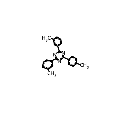 Cc1ccc(-c2nc(-c3cccc(C)c3)nc(-c3cccc(C)c3)n2)cc1